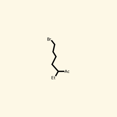 CCC(CCCCBr)C(C)=O